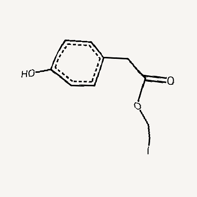 O=C(Cc1ccc(O)cc1)OCI